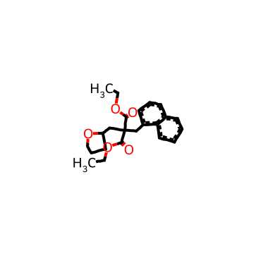 CCOC(=O)C(Cc1cccc2ccccc12)(CC1CCCO1)C(=O)OCC